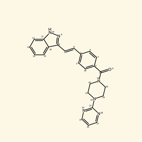 O=C(c1ccc(/C=C/c2n[nH]c3ccccc23)cc1)N1CCN(c2ncccn2)CC1